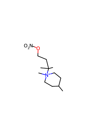 CC1CC[N+](C)(C(C)(C)CCO[N+](=O)[O-])CC1